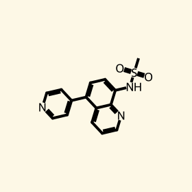 CS(=O)(=O)Nc1ccc(-c2ccncc2)c2cccnc12